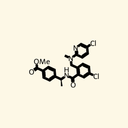 COC(=O)c1ccc([C@H](C)NC(=O)c2cc(Cl)ccc2CN(C)c2ccc(Cl)cn2)cc1